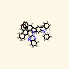 c1ccc(-n2c3ccccc3c3cc4c5cc6ccccc6cc5n(-c5nc6ccccc6nc5-c5cc6ccccc6c6ccccc56)c4cc32)cc1